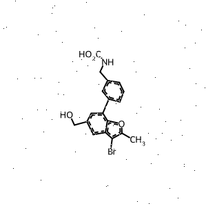 Cc1oc2c(-c3cccc(CNC(=O)O)c3)cc(CO)cc2c1Br